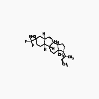 C=C[C@@H](C)[C@H]1CC[C@H]2[C@@H]3CC[C@@H]4C[C@@](O)(C(F)(F)F)CC[C@@H]4[C@H]3CC[C@]12C